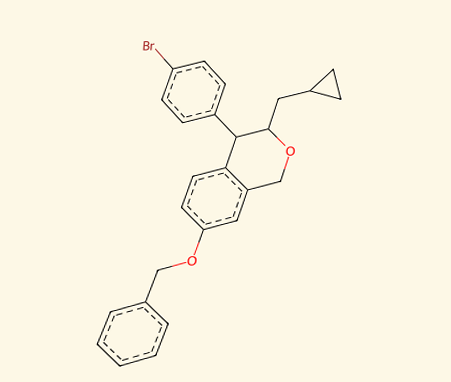 Brc1ccc(C2c3ccc(OCc4ccccc4)cc3COC2CC2CC2)cc1